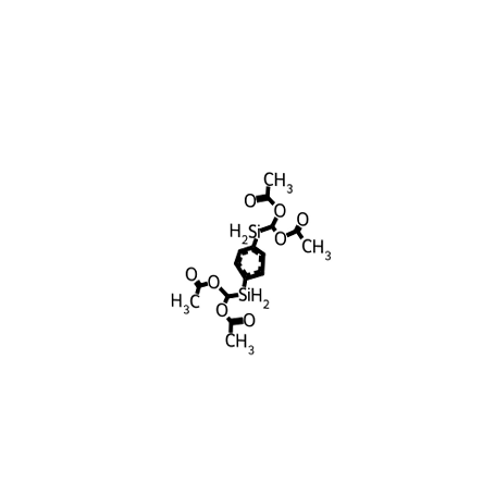 CC(=O)OC(OC(C)=O)[SiH2]c1ccc([SiH2]C(OC(C)=O)OC(C)=O)cc1